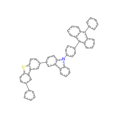 c1ccc(-c2ccc3sc4ccc(-c5ccc6c(c5)c5ccccc5n6-c5ccc(-c6c7ccccc7c(-c7ccccc7)c7ccccc67)cc5)cc4c3c2)cc1